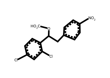 O=C(O)OC(Cc1ccc([N+](=O)[O-])cc1)c1ccc(Cl)cc1Cl